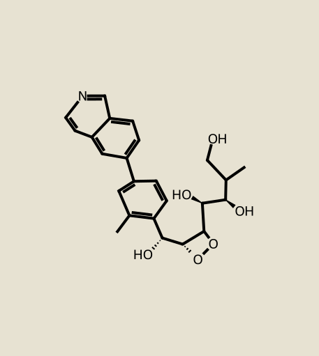 Cc1cc(-c2ccc3cnccc3c2)ccc1[C@@H](O)[C@H]1OOC1[C@@H](O)[C@H](O)C(C)CO